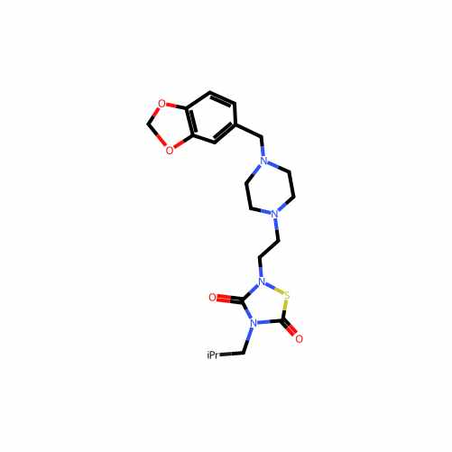 CC(C)Cn1c(=O)sn(CCN2CCN(Cc3ccc4c(c3)OCO4)CC2)c1=O